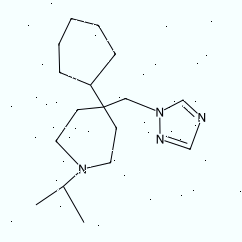 CC(C)N1CCC(Cn2cncn2)(C2CCCCC2)CC1